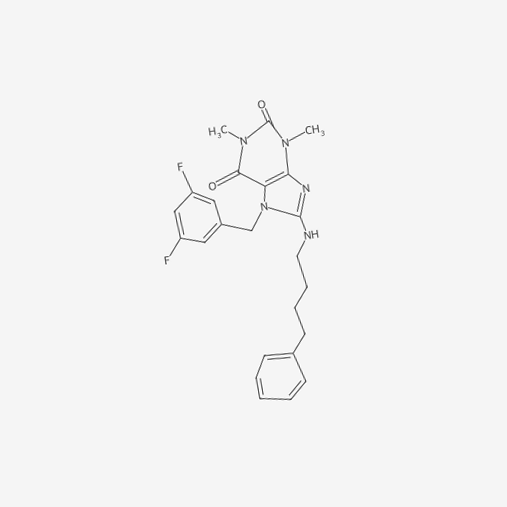 Cn1c(=O)c2c(nc(NCCCCc3ccccc3)n2Cc2cc(F)cc(F)c2)n(C)c1=O